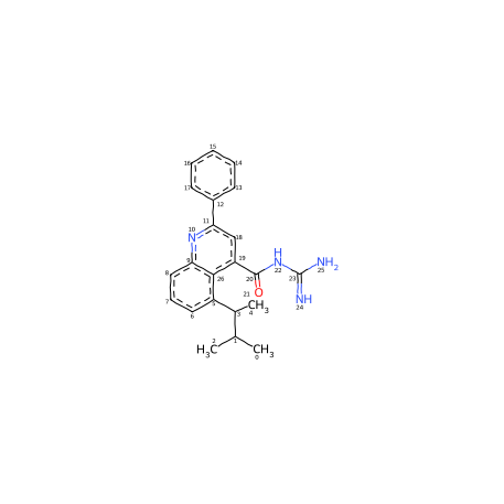 CC(C)C(C)c1cccc2nc(-c3ccccc3)cc(C(=O)NC(=N)N)c12